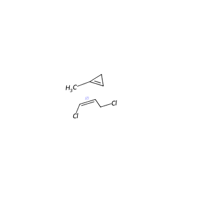 CC1=CC1.Cl/C=C\CCl